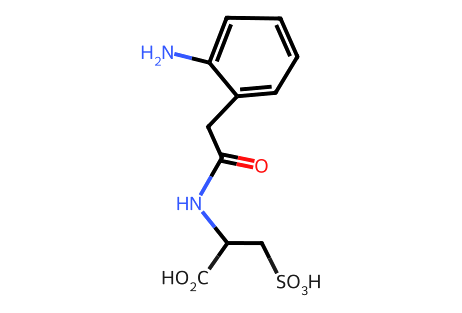 Nc1ccccc1CC(=O)NC(CS(=O)(=O)O)C(=O)O